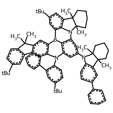 CC(C)(C)c1ccc(N2c3cc4c(cc3B3c5cc(C(C)(C)C)cc6c5N(c5cc(N7c8ccc(-c9ccccc9)cc8C8(C)CCCCC78C)cc2c53)C2(C)CCCCC62C)C(C)(C)c2ccc(C(C)(C)C)cc2-4)c(-c2ccccc2)c1